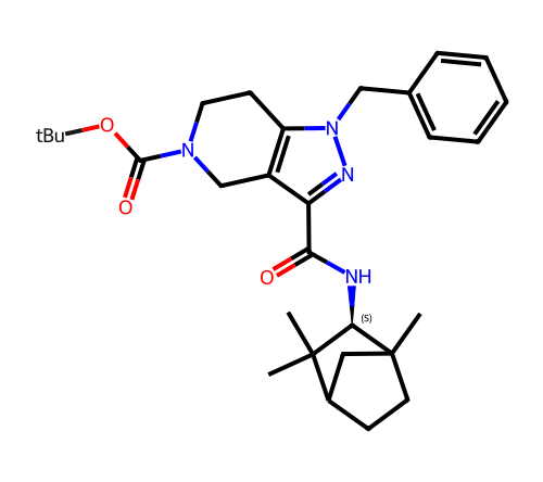 CC(C)(C)OC(=O)N1CCc2c(c(C(=O)N[C@H]3C4(C)CCC(C4)C3(C)C)nn2Cc2ccccc2)C1